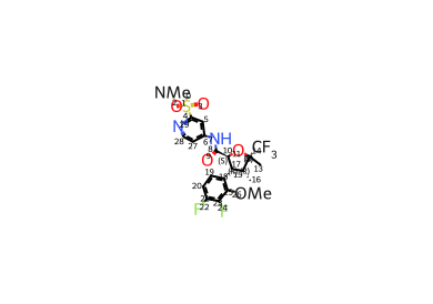 CNS(=O)(=O)c1cc(NC(=O)[C@H]2O[C@](C)(C(F)(F)F)[C@H](C)[C@@H]2c2ccc(F)c(F)c2OC)ccn1